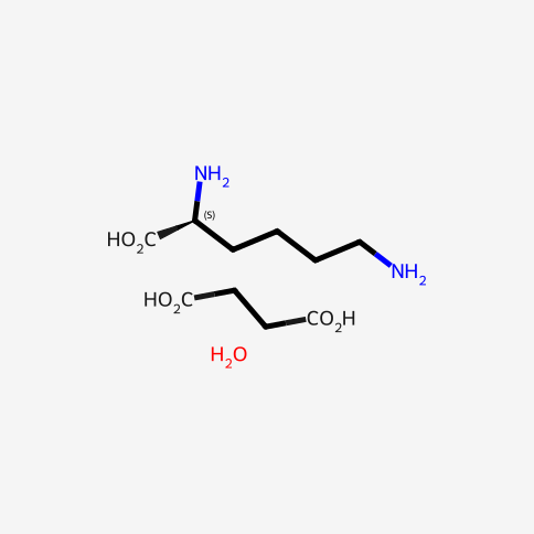 NCCCC[C@H](N)C(=O)O.O.O=C(O)CCC(=O)O